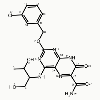 CC(O)C(CO)Nc1nc(OCc2cccc(Cl)c2)nc2[nH]c(=O)c(C(N)=O)nc12